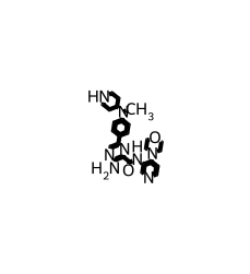 CN(c1ccc(-c2cnc(N)c(C(=O)Nc3cnccc3N3CCOCC3)n2)cc1)C1CCNCC1